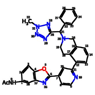 CC(=O)Nc1ccc2oc(-c3ccnc(-c4cccc5c4CCN(C(c4ccccc4)c4nnn(C)n4)C5)c3)nc2c1